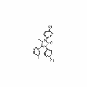 Cc1cccc(C2C(C)N(c3ccc(Cl)cc3)C(=O)N2c2ccc(Cl)cc2)c1